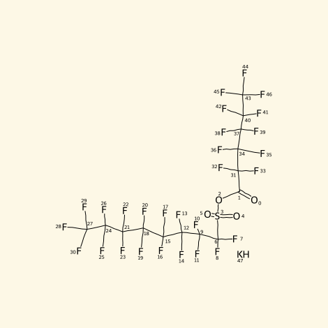 O=C(OS(=O)(=O)C(F)(F)C(F)(F)C(F)(F)C(F)(F)C(F)(F)C(F)(F)C(F)(F)C(F)(F)F)C(F)(F)C(F)(F)C(F)(F)C(F)(F)C(F)(F)F.[KH]